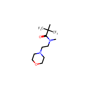 CN(CCN1CCOCC1)C(=O)C(C)(C(F)(F)F)C(F)(F)F